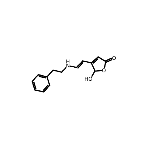 O=C1C=C(C=CNCCc2ccccc2)C(O)O1